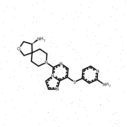 Nc1cc(Sc2cnc(N3CCC4(CC3)COC[C@H]4N)n3ccnc23)ccn1